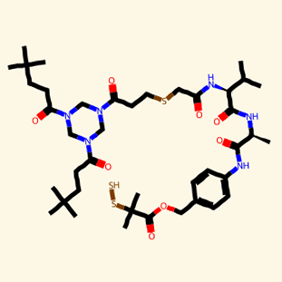 CC(C)[C@H](NC(=O)CSCCC(=O)N1CN(C(=O)CCC(C)(C)C)CN(C(=O)CCC(C)(C)C)C1)C(=O)N[C@@H](C)C(=O)Nc1ccc(COC(=O)C(C)(C)SS)cc1